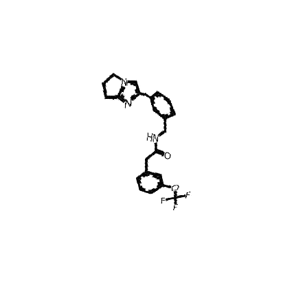 O=C(Cc1cccc(OC(F)(F)F)c1)NCc1cccc(-c2cn3c(n2)CCC3)c1